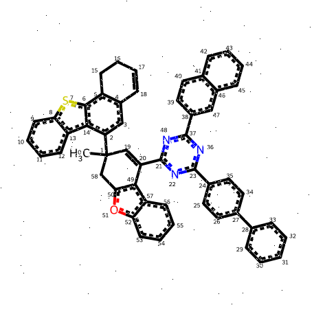 CC1(c2cc3c(c4sc5ccccc5c24)CCC=C3)C=C(c2nc(-c3ccc(-c4ccccc4)cc3)nc(-c3ccc4ccccc4c3)n2)c2c(oc3ccccc23)C1